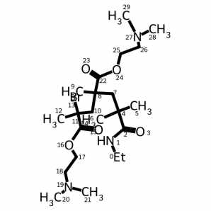 CCNC(=O)C(C)(C)CC(C)(CC(C)(Br)C(=O)OCCN(C)C)C(=O)OCCN(C)C